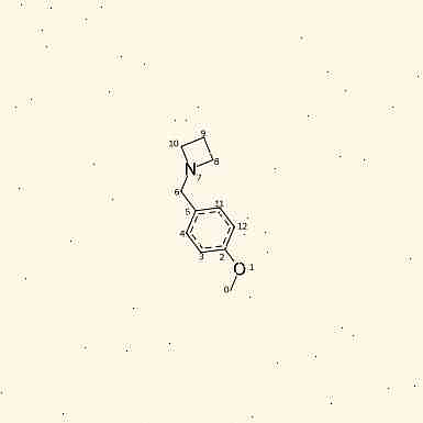 COc1ccc(CN2CCC2)cc1